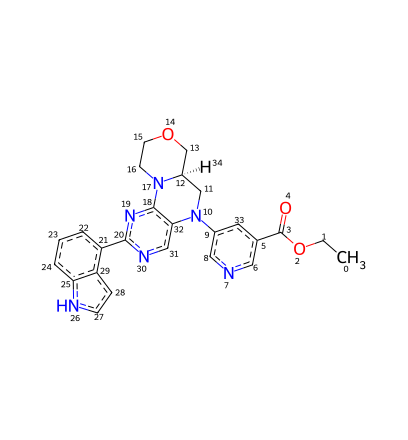 CCOC(=O)c1cncc(N2C[C@@H]3COCCN3c3nc(-c4cccc5[nH]ccc45)ncc32)c1